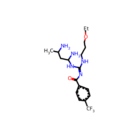 CCOCCCN/C(=N/C(=O)c1ccc(C(F)(F)F)cc1)NC(N)CC(C)N